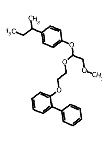 CCC(C)c1ccc(OC(COC)OCCOc2ccccc2-c2ccccc2)cc1